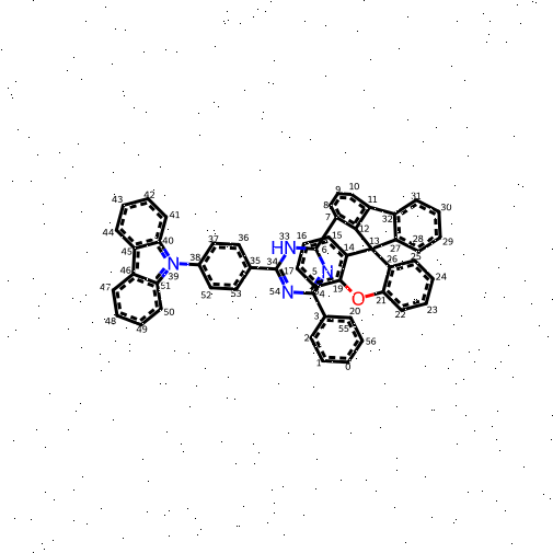 c1ccc(C2=NC(c3cccc4c3C3(c5ccccc5Oc5ccccc53)c3ccccc3-4)NC(c3ccc(-n4c5ccccc5c5ccccc54)cc3)=N2)cc1